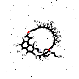 CO[C@H]1[C@H](C)[C@H](O)[C@H](C)[C@@H](O)[C@@H](C)/C=C/C=C(/C)C(=O)Nc2c(/C=N/N3CCN(CCO)CC3)c(O)c3c4c(c(C)c(O)c3c2O)O[C@](C)(O/C=C/[C@H](OC)[C@H]1C)C4=O